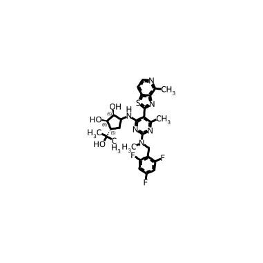 Cc1nc(N(C)Cc2c(F)cc(F)cc2F)nc(NC2C[C@H](C(C)(C)O)[C@@H](O)[C@H]2O)c1-c1nc2c(C)nccc2s1